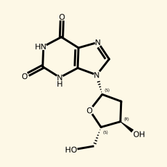 O=c1[nH]c(=O)c2ncn([C@@H]3C[C@@H](O)[C@H](CO)O3)c2[nH]1